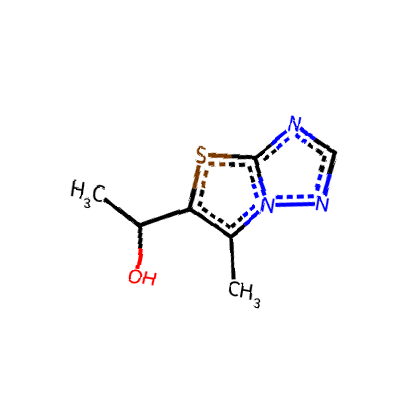 Cc1c(C(C)O)sc2ncnn12